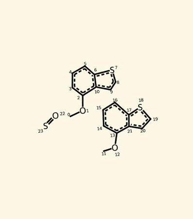 COc1cccc2sccc12.COc1cccc2sccc12.O=S